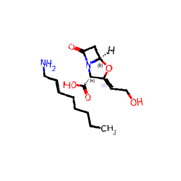 CCCCCCCCN.O=C(O)[C@H]1/C(=C/CO)O[C@@H]2CC(=O)N21